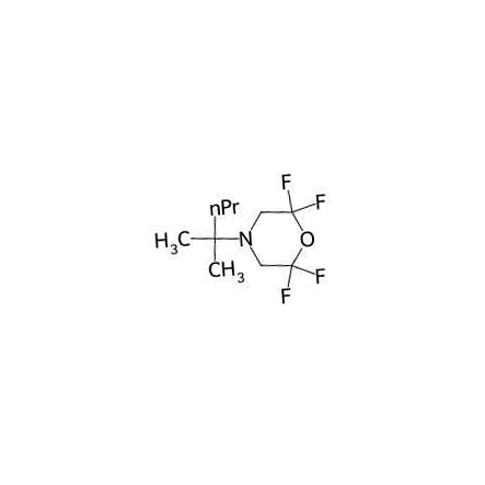 CCCC(C)(C)N1CC(F)(F)OC(F)(F)C1